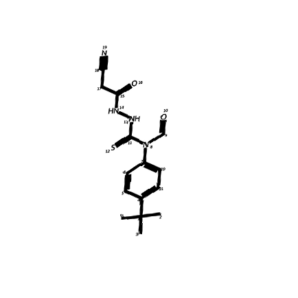 CC(C)(C)c1ccc(N(C=O)C(=S)NNC(=O)CC#N)cc1